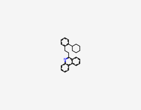 c1ccc(C2CCCCC2)c(CCc2nc3ccccc3c3ccccc23)c1